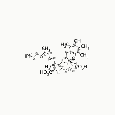 Cc1c(C)c2c(c(C)c1O)CC[C@@](C)(CCCC(C)CCCC(C)CCCC(C)C)O2.O=C(O)CCCCCCC(=O)O